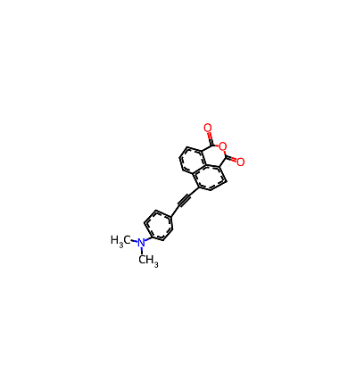 CN(C)c1ccc(C#Cc2ccc3c4c(cccc24)C(=O)OC3=O)cc1